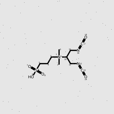 C[N+](C)(CCCS(=O)(=O)O)C(CN=C=O)CN=C=O